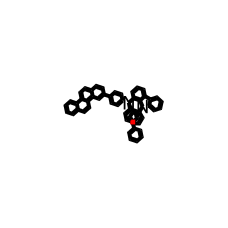 c1ccc(-c2ccc(N(c3ccc(-c4ccc5ccc6c7ccccc7ccc6c5c4)cc3)c3cccc4c5ccccc5n(-c5ccccc5)c34)cc2)cc1